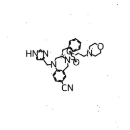 N#Cc1ccc2c(c1)CN(S(=O)(=O)CCN1CCOCC1)[C@H](Cc1ccccc1)CN2Cc1c[nH]cn1